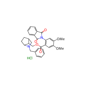 COc1cc(C(=O)OCC2C3CCC2N(Cc2ccccc2)C3)c(N2C(=O)c3ccccc3C2=O)cc1OC.Cl